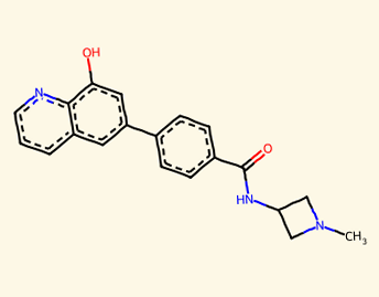 CN1CC(NC(=O)c2ccc(-c3cc(O)c4ncccc4c3)cc2)C1